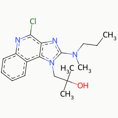 CCCN(C)c1nc2c(Cl)nc3ccccc3c2n1CC(C)(C)O